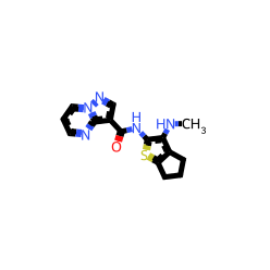 CNc1c(NC(=O)c2cnn3cccnc23)sc2c1CCC2